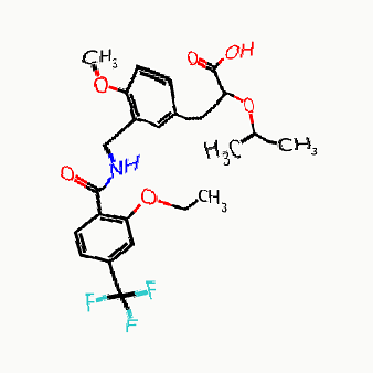 CCOc1cc(C(F)(F)F)ccc1C(=O)NCc1cc(CC(OC(C)C)C(=O)O)ccc1OC